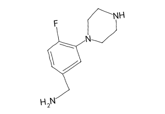 NCc1ccc(F)c(N2CCNCC2)c1